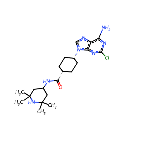 CC1(C)CC(NC(=O)[C@H]2CC[C@@H](n3cnc4c(N)nc(Cl)nc43)CC2)CC(C)(C)N1